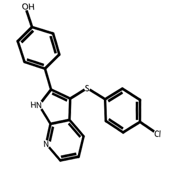 Oc1ccc(-c2[nH]c3ncccc3c2Sc2ccc(Cl)cc2)cc1